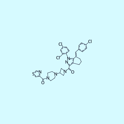 O=C(c1cscn1)N1CCN(C2CN(C(=O)c3nn(-c4ccc(Cl)cc4Cl)c4c3CCCC4=Cc3ccc(Cl)cc3)C2)CC1